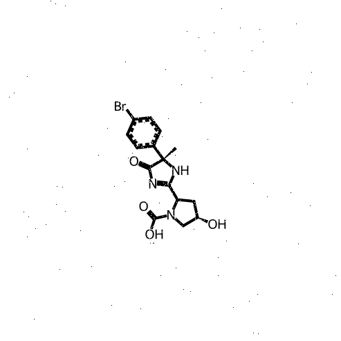 C[C@@]1(c2ccc(Br)cc2)NC(C2C[C@@H](O)CN2C(=O)O)=NC1=O